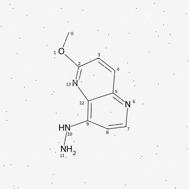 COc1ccc2nccc(NN)c2n1